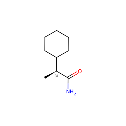 C[C@H](C(N)=O)C1CCCCC1